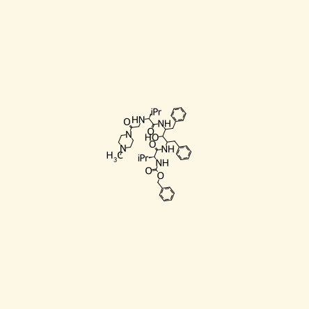 CC(C)[C@H](NCC(=O)N1CCN(C)CC1)C(=O)NC(Cc1ccccc1)C(O)C(Cc1ccccc1)NC(=O)[C@@H](NC(=O)OCc1ccccc1)C(C)C